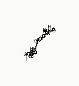 O=C1CCC(N2C(=O)c3cccc(NCCCCCC(=O)N4CCN(c5ccc(-c6cnc(NCc7ccco7)n7cnnc67)cc5)CC4)c3C2=O)C(=O)N1